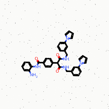 Nc1ccccc1NC(=O)c1ccc(C(C(=O)NCc2cccc(-n3cccc3)c2)C(=O)NCc2cccc(-n3cccc3)c2)cc1